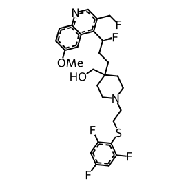 COc1ccc2ncc(CF)c([C@@H](F)CCC3(CO)CCN(CCSc4c(F)cc(F)cc4F)CC3)c2c1